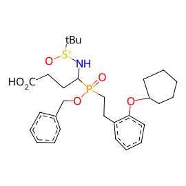 CC(C)(C)[S+]([O-])NC(CCC(=O)O)P(=O)(CCc1ccccc1OC1CCCCC1)OCc1ccccc1